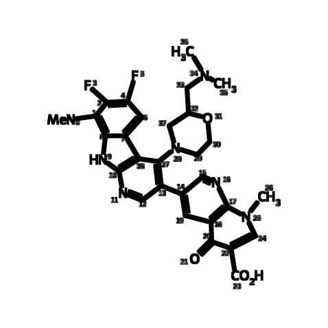 CNc1c(F)c(F)cc2c1[nH]c1ncc(-c3cnc4c(c3)c(=O)c(C(=O)O)cn4C)c(N3CCOC(CN(C)C)C3)c12